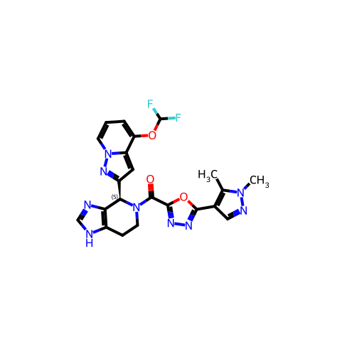 Cc1c(-c2nnc(C(=O)N3CCc4[nH]cnc4[C@H]3c3cc4c(OC(F)F)cccn4n3)o2)cnn1C